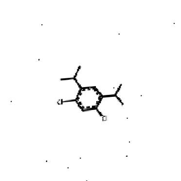 CC(C)c1cc(C(C)C)c(Cl)cc1Cl